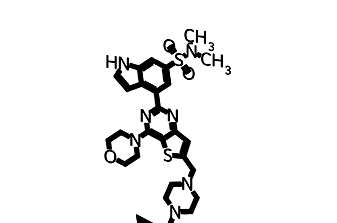 CN(C)S(=O)(=O)c1cc(-c2nc(N3CCOCC3)c3sc(CN4CCN(CC5CC5)CC4)cc3n2)c2cc[nH]c2c1